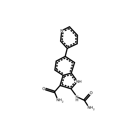 NC(=O)Nc1[nH]c2cc(-c3cccnc3)ccc2c1C(N)=O